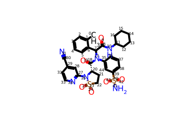 Cc1ccccc1C(C(=O)NC1CCCCC1)N(C(=O)[C@@H]1CCS(=O)(=O)N1c1cc(C#N)ccn1)c1cccc(S(N)(=O)=O)c1